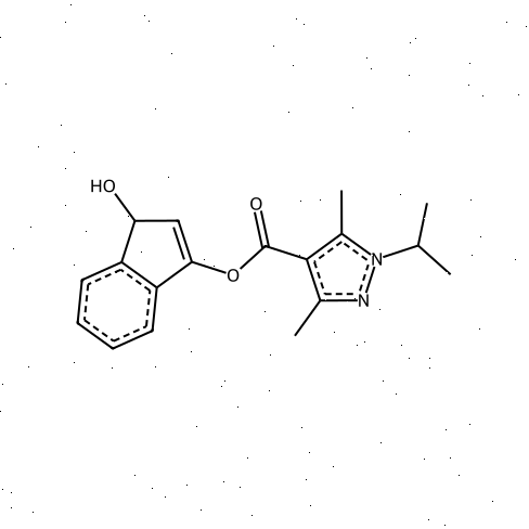 Cc1nn(C(C)C)c(C)c1C(=O)OC1=CC(O)c2ccccc21